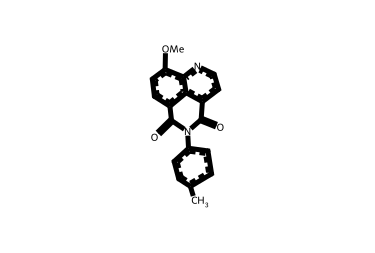 COc1ccc2c3c(ccnc13)C(=O)N(c1ccc(C)cc1)C2=O